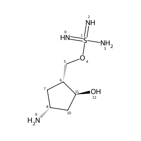 N=S(=N)(N)OC[C@H]1C[C@@H](N)C[C@@H]1O